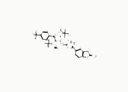 CC(C)(C)N(C(=O)O)[C@H](CNc1nnc(-c2ccc3c(c2)CC(=O)N3)s1)[C@@H](O[Si](C)(C)C(C)(C)C)c1ccc(C(F)(F)F)cc1